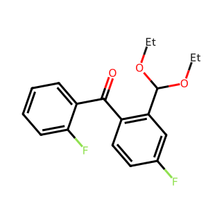 CCOC(OCC)c1cc(F)ccc1C(=O)c1ccccc1F